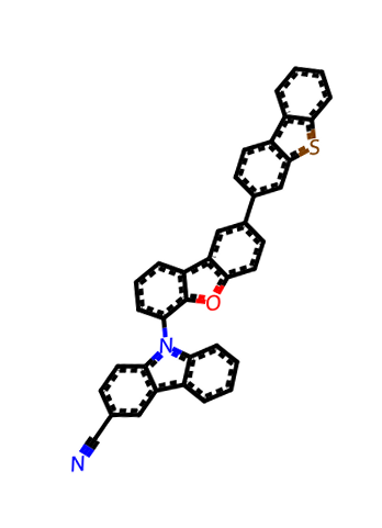 N#Cc1ccc2c(c1)c1ccccc1n2-c1cccc2c1oc1ccc(-c3ccc4c(c3)sc3ccccc34)cc12